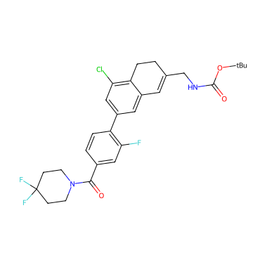 CC(C)(C)OC(=O)NCC1=Cc2cc(-c3ccc(C(=O)N4CCC(F)(F)CC4)cc3F)cc(Cl)c2CC1